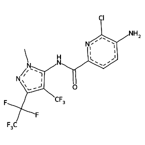 Cn1nc(C(F)(F)C(F)(F)F)c(C(F)(F)F)c1NC(=O)c1ccc(N)c(Cl)n1